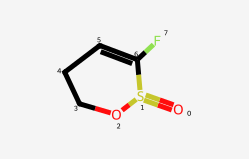 O=S1OCCC=C1F